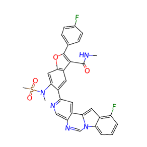 CNC(=O)c1c(-c2ccc(F)cc2)oc2cc(N(C)S(C)(=O)=O)c(-c3cc4c(cn3)ncn3c5cccc(F)c5cc43)cc12